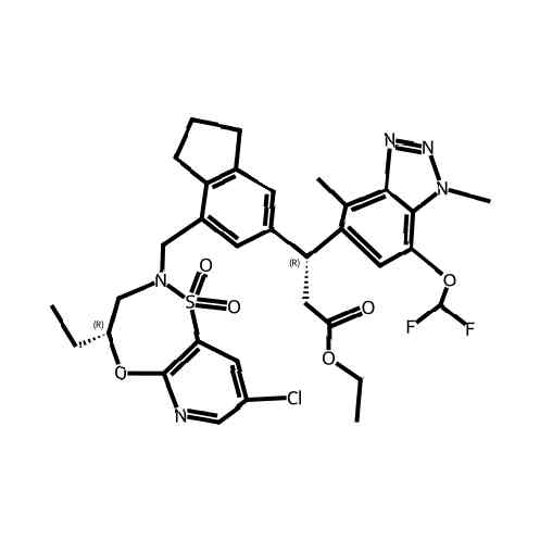 CCOC(=O)C[C@H](c1cc2c(c(CN3C[C@@H](CC)Oc4ncc(Cl)cc4S3(=O)=O)c1)CCC2)c1cc(OC(F)F)c2c(nnn2C)c1C